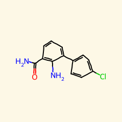 NC(=O)c1cccc(-c2ccc(Cl)cc2)c1N